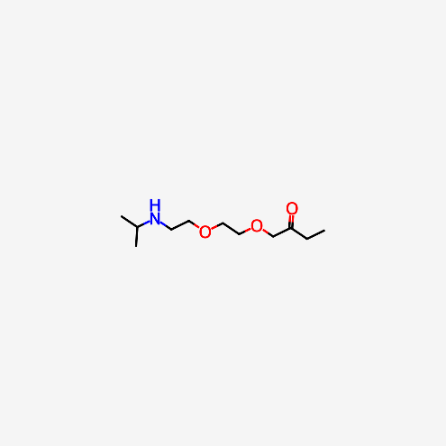 CCC(=O)COCCOCCNC(C)C